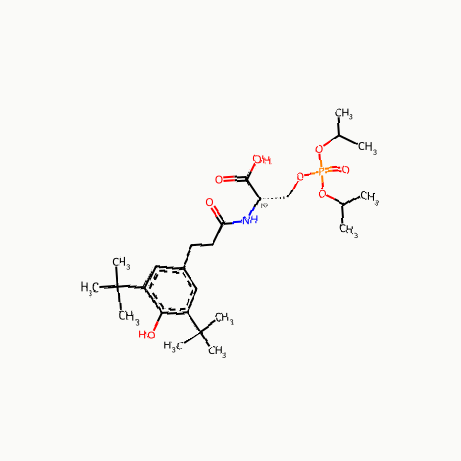 CC(C)OP(=O)(OC[C@H](NC(=O)CCc1cc(C(C)(C)C)c(O)c(C(C)(C)C)c1)C(=O)O)OC(C)C